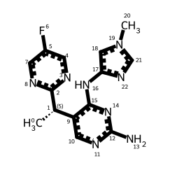 C[C@H](c1ncc(F)cn1)c1cnc(N)nc1Nc1cn(C)cn1